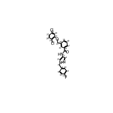 O=C(Nc1cnn(Cc2ccc(F)cc2)c1)c1cccc(COc2cc(Cl)ccc2Cl)c1